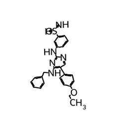 CCOc1ccc(-c2cnc(Nc3cccc([SH](=N)=O)c3)nc2NCc2ccccc2)cc1